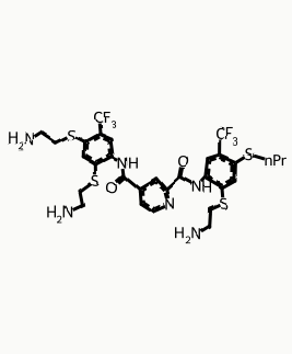 CCCSc1cc(SCCN)c(NC(=O)c2cc(C(=O)Nc3cc(C(F)(F)F)c(SCCN)cc3SCCN)ccn2)cc1C(F)(F)F